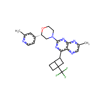 Cc1cc([C@H]2CN(c3nc(C4CC5(C(F)(F)F)CCC45)c4ncc(C)nc4n3)CCO2)ccn1